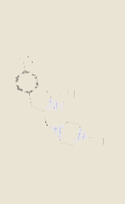 CN1CCN(C[C@@H](Cc2ccc(C#N)cc2)NC(=O)O)CC1